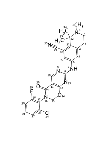 CN1CCc2cc(Nc3ncc4c(n3)OCN(c3c(F)cccc3Cl)C4=O)cc(C#N)c2C1(C)C